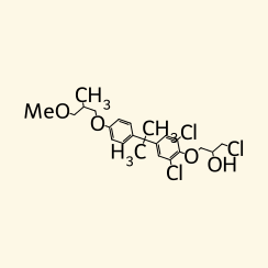 COCC(C)COc1ccc(C(C)(C)c2cc(Cl)c(OCC(O)CCl)c(Cl)c2)cc1